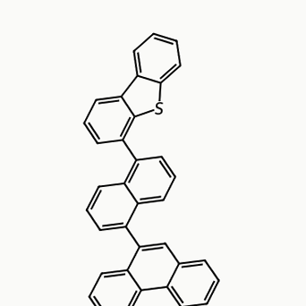 c1ccc2c(c1)cc(-c1cccc3c(-c4cccc5c4sc4ccccc45)cccc13)c1ccccc12